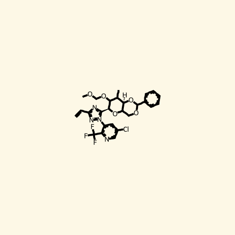 C=Cc1nc([C@@H]2OC3COC(c4ccccc4)O[C@@H]3C(C)C2OCOC)n(-c2cc(Cl)cnc2C(F)(F)F)n1